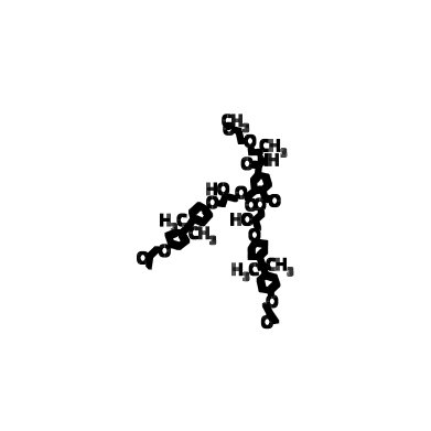 COCCOCC(C)NC(=O)c1ccc(C(=O)OCC(O)COc2ccc(C(C)(C)c3ccc(OCC4CO4)cc3)cc2)c(C(=O)OCC(O)COc2ccc(C(C)(C)c3ccc(OCC4CO4)cc3)cc2)c1